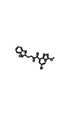 COc1nnc2c(C(=O)NCCc3nc4ccccc4[nH]3)cc(Br)cn12